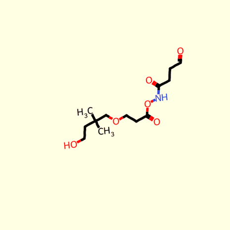 CC(C)(CCO)COCCC(=O)ONC(=O)CCC=O